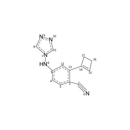 N#Cc1ccc(Nn2cnnc2)cc1C1=CCC1